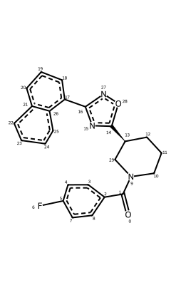 O=C(c1ccc(F)cc1)N1CCC[C@H](c2nc(-c3cccc4ccccc34)no2)C1